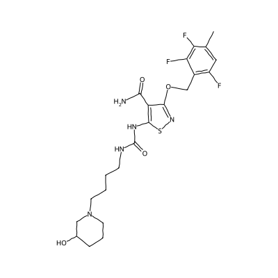 Cc1cc(F)c(COc2nsc(NC(=O)NCCCCN3CCCC(O)C3)c2C(N)=O)c(F)c1F